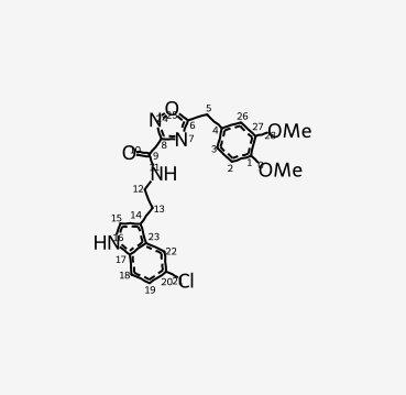 COc1ccc(Cc2nc(C(=O)NCCc3c[nH]c4ccc(Cl)cc34)no2)cc1OC